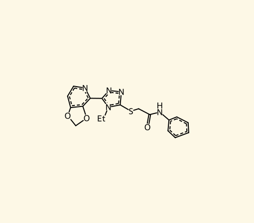 CCn1c(SCC(=O)Nc2ccccc2)nnc1-c1nccc2c1OCO2